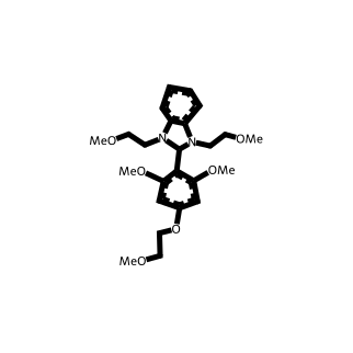 COCCOc1cc(OC)c(C2N(CCOC)c3ccccc3N2CCOC)c(OC)c1